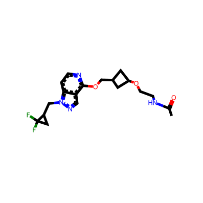 CC(=O)NCCOC1CC(COc2nccc3c2cnn3CC2CC2(F)F)C1